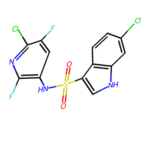 O=S(=O)(Nc1cc(F)c(Cl)nc1F)c1c[nH]c2cc(Cl)ccc12